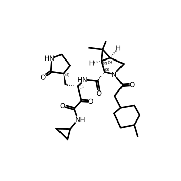 CC1CCC(CC(=O)N2C[C@H]3[C@@H]([C@H]2C(=O)N[C@@H](C[C@@H]2CCNC2=O)C(=O)C(=O)NC2CC2)C3(C)C)CC1